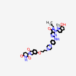 C=CCn1c(=O)c2cnc(Nc3ccc(N4CCN(CCCCOc5ccc6c(c5)CN(C5CCC(=O)NC5=O)C6=O)CC4)cc3)nc2n1-c1ccc2c(n1)[C@@](O)(CC)CC2